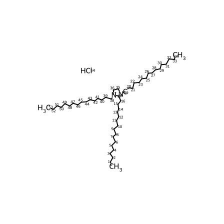 CCCCCCCCCCCCCCCCCC1N(CCCCCCCCCCCCCCCC)CCN1CCCCCCCCCCCCCCCC.Cl